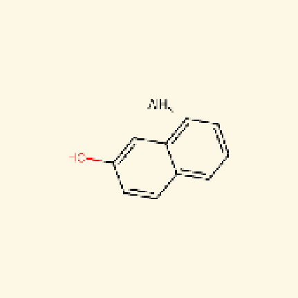 Oc1ccc2ccccc2c1.[AlH3]